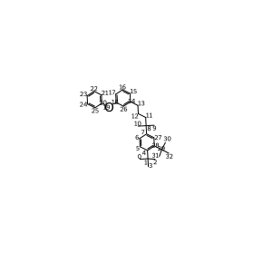 CC(C)(C)c1ccc(C(C)(C)CCCc2cccc(Oc3ccccc3)c2)cc1C(C)(C)C